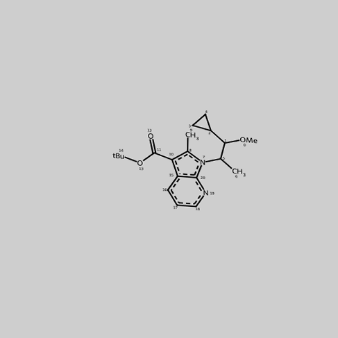 COC(C1CC1)C(C)n1c(C)c(C(=O)OC(C)(C)C)c2cccnc21